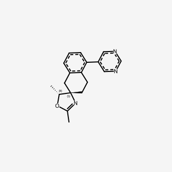 CC1=N[C@]2(CCc3c(cccc3-c3cncnc3)C2)[C@@H](C)O1